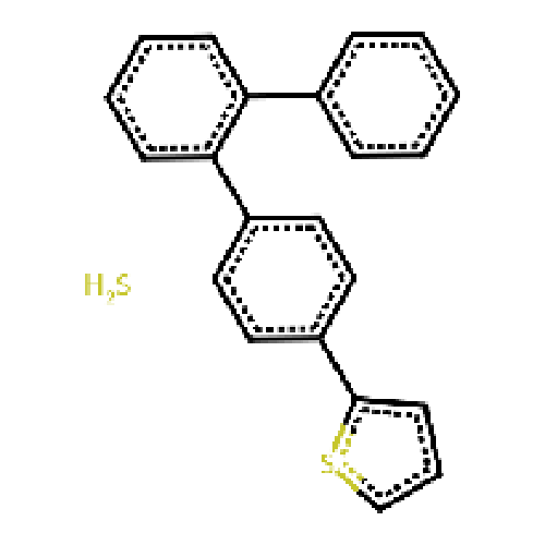 S.c1ccc(-c2ccccc2-c2ccc(-c3cccs3)cc2)cc1